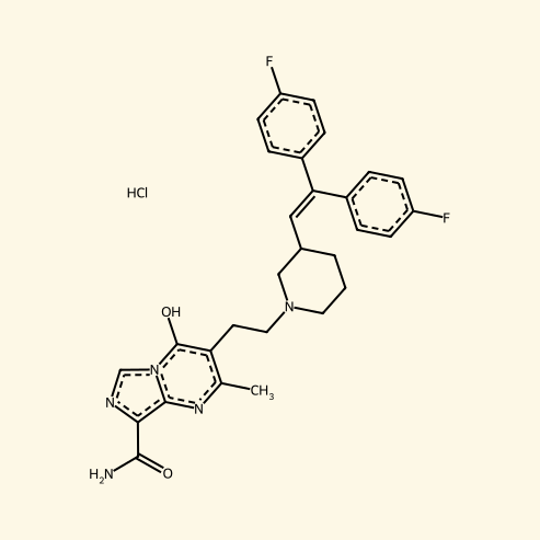 Cc1nc2c(C(N)=O)ncn2c(O)c1CCN1CCCC(C=C(c2ccc(F)cc2)c2ccc(F)cc2)C1.Cl